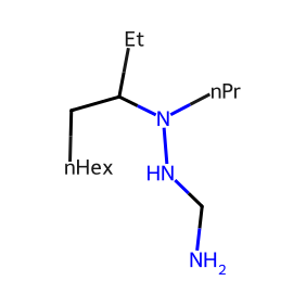 [CH2]CCCCCCC(CC)N(CCC)NCN